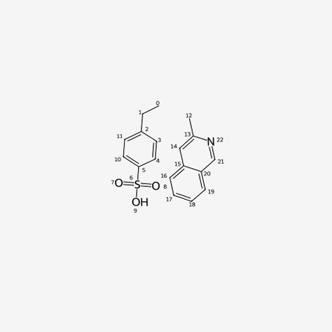 CCc1ccc(S(=O)(=O)O)cc1.Cc1cc2ccccc2cn1